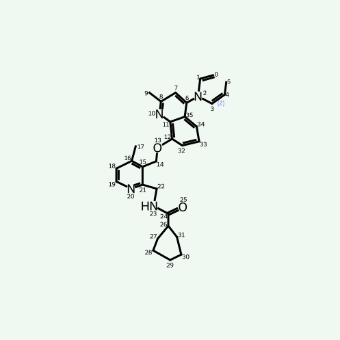 C=CN(/C=C\C)c1cc(C)nc2c(OCc3c(C)ccnc3CNC(=O)C3CCCCC3)cccc12